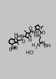 Cc1c(NC(=O)c2[nH]c3cccc([N+](=O)[O-])c3c2C)c[nH]c1C(=O)Nc1ccn(C)c1C(=O)NCCC(N)=NO.Cl